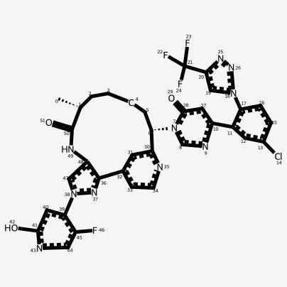 C[C@@H]1CCCC[C@H](n2cnc(-c3cc(Cl)ccc3-n3cc(C(F)(F)F)nn3)cc2=O)c2cc(ccn2)-c2nn(-c3cc(O)ncc3F)cc2NC1=O